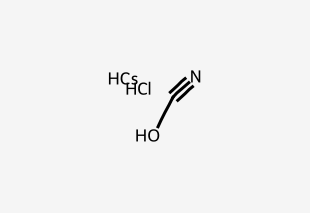 Cl.N#CO.[CsH]